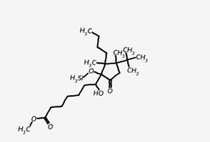 CCCCC1(C)C(O[SiH3])(C(O)CCCCCC(=O)OC)C(=O)CC1(C)C(C)(C)C